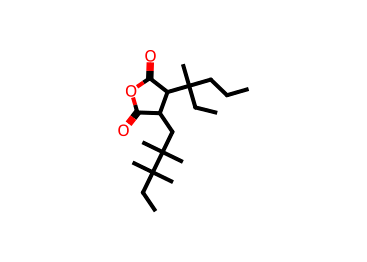 CCCC(C)(CC)C1C(=O)OC(=O)C1CC(C)(C)C(C)(C)CC